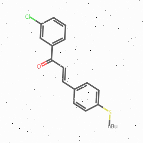 CCCCSc1ccc(C=CC(=O)c2cccc(Cl)c2)cc1